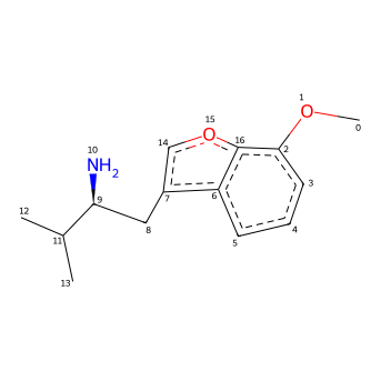 COc1cccc2c(C[C@H](N)C(C)C)coc12